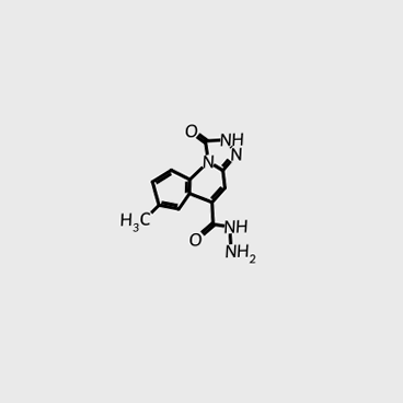 Cc1ccc2c(c1)c(C(=O)NN)cc1n[nH]c(=O)n12